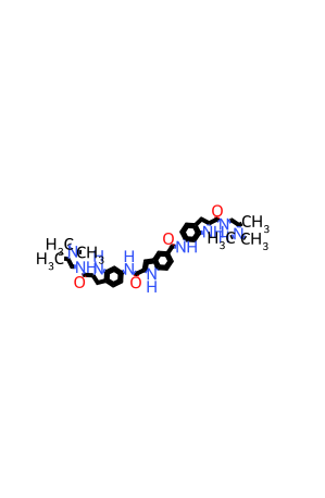 CC(CNC(=O)C1Cc2ccc(NC(=O)c3ccc4[nH]c(C(=O)Nc5ccc6c(c5)NC(C(=O)NCC(C)N(C)C)C6)cc4c3)cc2N1)N(C)C